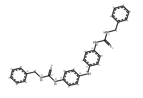 S=C(NCc1ccccc1)Nc1ccc(Nc2ccc(NC(=S)NCc3ccccc3)cc2)cc1